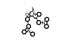 C\C=C/C=c1/oc2ccc(-c3ccc4c(c3)c3ccccc3n4-c3ccccc3)cc2/c1=C1\C=C(c2cccc(-n3c4ccccc4c4ccccc43)c2)c2ccccc2N1C